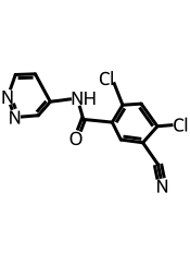 N#Cc1cc(C(=O)Nc2ccnnc2)c(Cl)cc1Cl